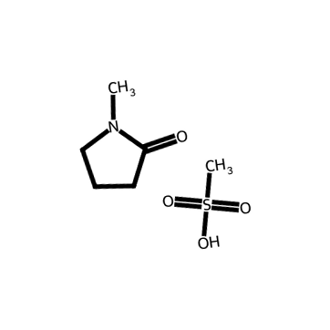 CN1CCCC1=O.CS(=O)(=O)O